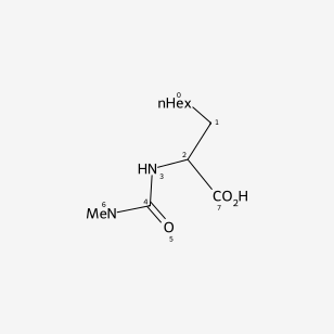 CCCCCCCC(NC(=O)NC)C(=O)O